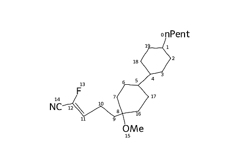 CCCCCC1CCC(C2CCC(CCC=C(F)C#N)(OC)CC2)CC1